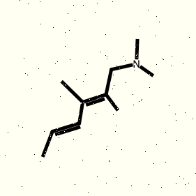 CC=C/C(C)=C(\C)CN(C)C